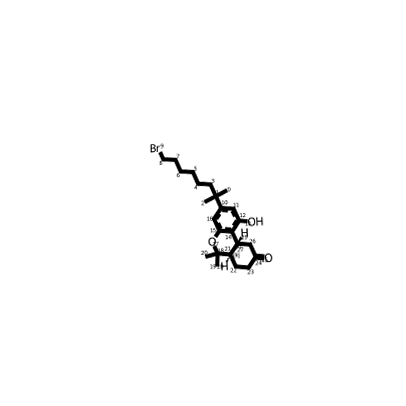 CC(C)(CCCCCCBr)c1cc(O)c2c(c1)OC(C)(C)[C@@H]1CCC(=O)C[C@@H]21